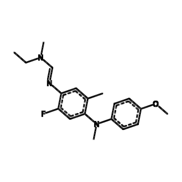 CCN(C)C=Nc1cc(C)c(N(C)c2ccc(OC)cc2)cc1F